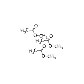 COC(C)=O.COC(C)=O.COC(C)=O